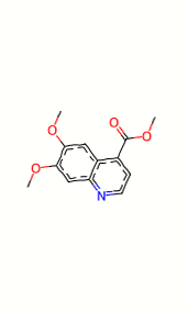 COC(=O)c1ccnc2cc(OC)c(OC)cc12